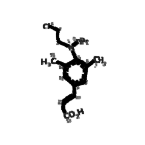 CCCN(CCCl)c1c(C)cc(C=CC(=O)O)cc1C